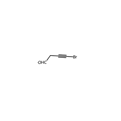 O=[C]CC#CBr